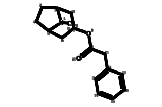 CN1C2CCC1CC(OC(=O)Cc1ccccc1)C2